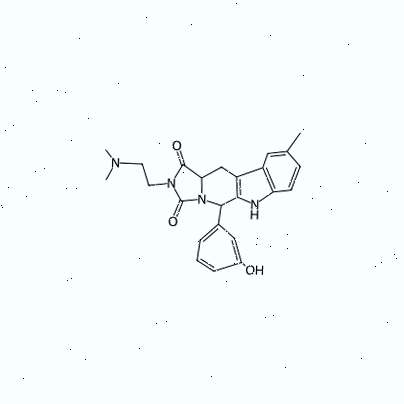 Cc1ccc2[nH]c3c(c2c1)CC1C(=O)N(CCN(C)C)C(=O)N1C3c1cccc(O)c1